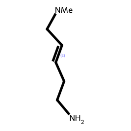 CNC/C=C/CCN